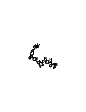 CC(C)(C)[Si](C)(C)OCCN1CCN(C(=O)c2ccc(-c3cc4nccc(Oc5ccc(NC(=O)NC6CC6)cc5F)c4s3)nc2)CC1